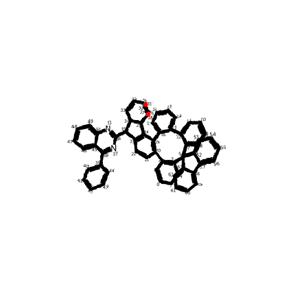 C1=CC2=C(CC1)C1(c3ccccc3-c3ccccc3-c3c2ccc2c3C3c4ccccc4C=CC3C2c2nc(-c3ccccc3)c3ccccc3n2)c2ccccc2-c2ccccc21